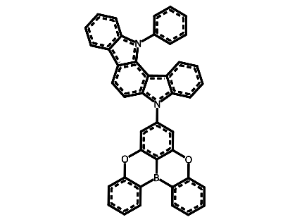 c1ccc(-n2c3ccccc3c3ccc4c(c5ccccc5n4-c4cc5c6c(c4)Oc4ccccc4B6c4ccccc4O5)c32)cc1